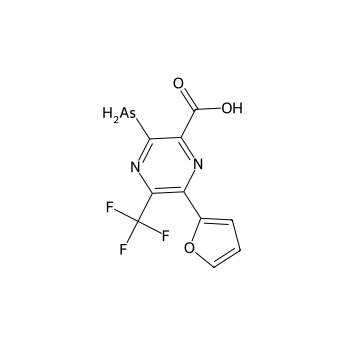 O=C(O)c1nc(-c2ccco2)c(C(F)(F)F)nc1[AsH2]